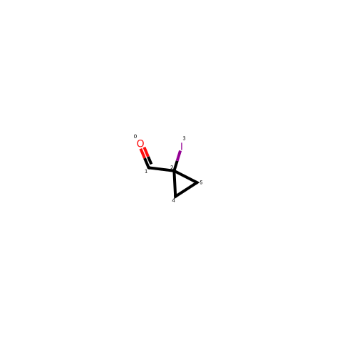 O=CC1(I)CC1